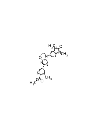 COC(=O)c1ncc(-c2ncc3c(n2)OCCN3c2ccc3c(c2)n(C)c(=O)n3C)cc1C